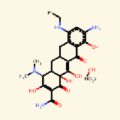 CC(C)CNc1cc(N)c(O)c2c1CC1CC3[C@H](N(C)C)C(O)=C(C(N)=O)C(=O)[C@@]3(O)C(O)=C1C2=O.O=S(=O)(O)O